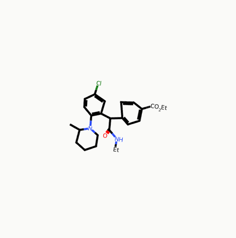 CCNC(=O)C(c1ccc(C(=O)OCC)cc1)c1cc(Cl)ccc1N1CCCCC1C